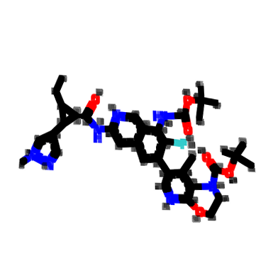 CCC1C(c2cnn(C)c2)[C@H]1C(=O)Nc1cc2cc(-c3cnc4c(c3C)N(C(=O)OC(C)(C)C)CCO4)c(F)c(NC(=O)OC(C)(C)C)c2cn1